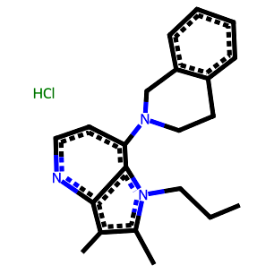 CCCn1c(C)c(C)c2nccc(N3CCc4ccccc4C3)c21.Cl